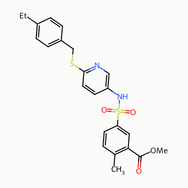 CCc1ccc(CSc2ccc(NS(=O)(=O)c3ccc(C)c(C(=O)OC)c3)cn2)cc1